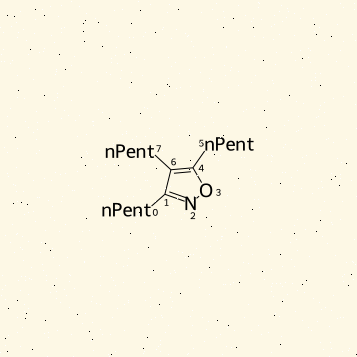 CCCCCc1noc(CCCCC)c1CCCCC